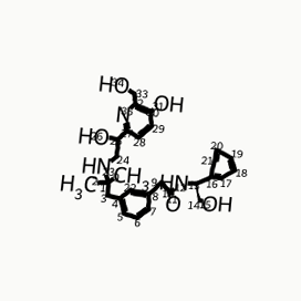 CC(C)(Cc1cccc(CC(=O)N[C@H](CO)c2ccccc2)c1)NCC(O)c1ccc(O)c(CO)n1